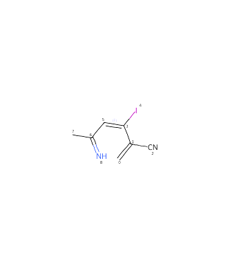 C=C(C#N)/C(I)=C\C(C)=N